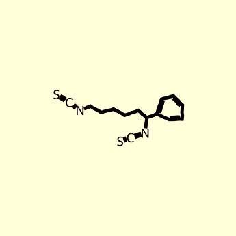 S=C=NCCCCCC(N=C=S)c1ccccc1